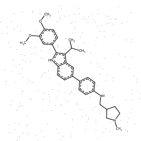 COc1ccc(-c2[nH]c3ccc(-c4ccc(NCC5CCN(C)C5)cc4)cc3c2C(C)C)cc1OC